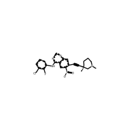 CN1CCC[C@@](C)(C#Cc2cc3ncnc(Nc4cccc(Cl)c4F)c3cc2[N+](=O)[O-])C1